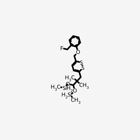 C[SiH2]OC(O[SiH2]C)C(C)(C)CC1=CC=C(COc2ccccc2CF)SS1